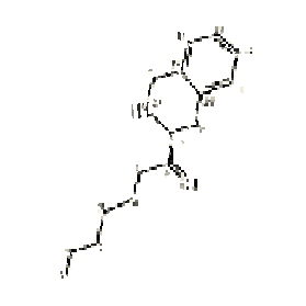 CCCCCCC(=O)[C@@H]1Cc2ccccc2CN1